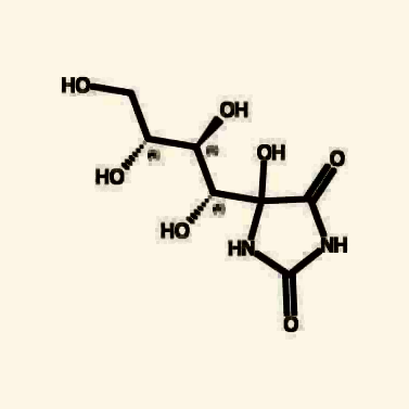 O=C1NC(=O)C(O)([C@H](O)[C@H](O)[C@H](O)CO)N1